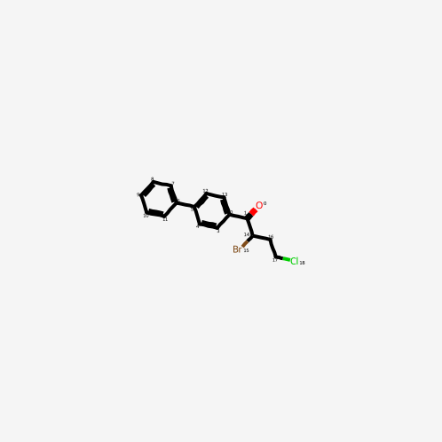 O=C(c1ccc(-c2ccccc2)cc1)C(Br)CCCl